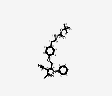 Cc1nn(-c2ccccc2)c(COc2ccc(CCNC(=O)OC(C)(C)C)cc2)c1C#N